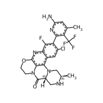 Cc1cc(N)nc(-c2c(Cl)cc3c4c5c(nc3c2F)OCCN5C(=O)[C@H]2CN[C@H](C)CN42)c1C(F)(F)F